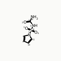 NC(=O)NS(=O)(=O)n1cccc1